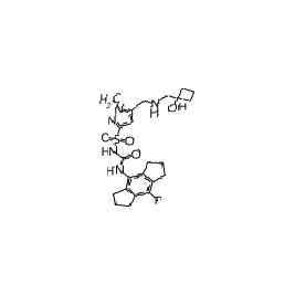 Cn1nc(S(=O)(=O)NC(=O)Nc2c3c(c(F)c4c2CCC4)CCC3)cc1CNCC1(O)CCC1